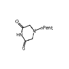 CCCCCN1CC(=O)NC(=O)C1